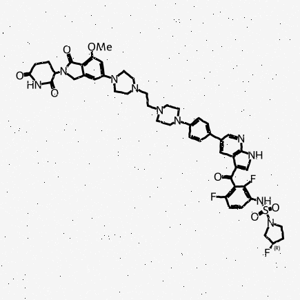 COc1cc(N2CCN(CCN3CCN(c4ccc(-c5cnc6[nH]cc(C(=O)c7c(F)ccc(NS(=O)(=O)N8CC[C@@H](F)C8)c7F)c6c5)cc4)CC3)CC2)cc2c1C(=O)N(C1CCC(=O)NC1=O)C2